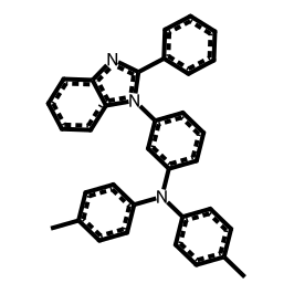 Cc1ccc(N(c2ccc(C)cc2)c2cccc(-n3c(-c4ccccc4)nc4ccccc43)c2)cc1